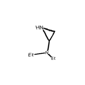 CCN(CC)C1CN1